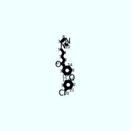 O=C(CCCCn1ccnc1)c1ccc(Oc2ccc(Cl)cc2)cc1